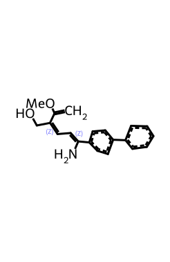 C=C(OC)/C(=C\C=C(/N)c1ccc(-c2ccccc2)cc1)CO